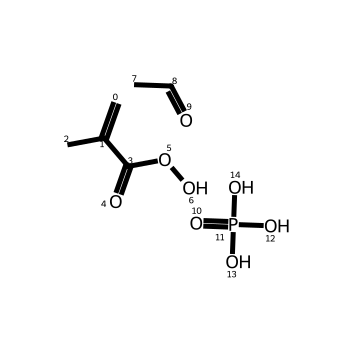 C=C(C)C(=O)OO.CC=O.O=P(O)(O)O